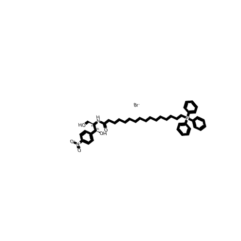 O=C(CCCCCCCCCCCCCCC[P+](c1ccccc1)(c1ccccc1)c1ccccc1)N[C@H](CO)[C@H](O)c1ccc([N+](=O)[O-])cc1.[Br-]